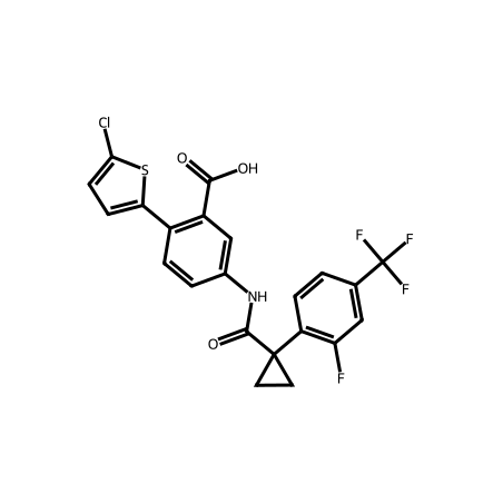 O=C(O)c1cc(NC(=O)C2(c3ccc(C(F)(F)F)cc3F)CC2)ccc1-c1ccc(Cl)s1